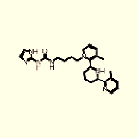 CC1=C([C@@H]2CCC[C@H](c3ncccc3C)N2)N(CCCCNC(=O)Nc2ncc[nH]2)CC=C1